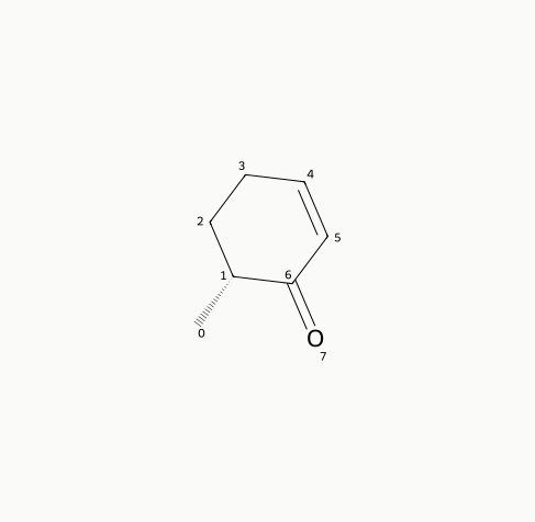 C[C@@H]1CCC=CC1=O